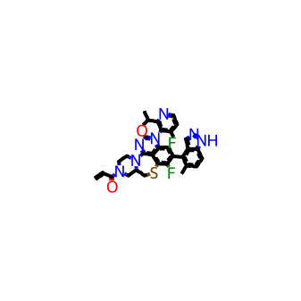 C=CC(=O)N1CCN2c3nc(=O)n(-c4c(C)ccnc4C(C)C)c4c(F)c(-c5c(C)ccc6[nH]ncc56)c(F)c(c34)SCC2C1